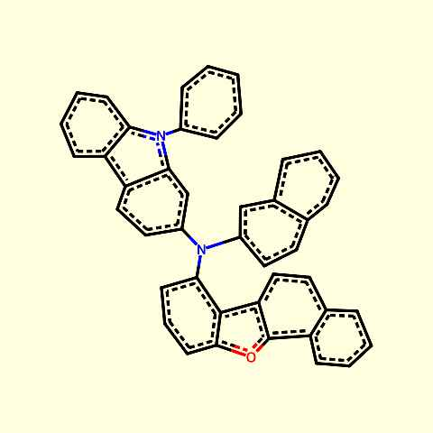 c1ccc(-n2c3ccccc3c3ccc(N(c4ccc5ccccc5c4)c4cccc5oc6c7ccccc7ccc6c45)cc32)cc1